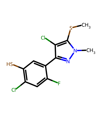 CSc1c(Cl)c(-c2cc(S)c(Cl)cc2F)nn1C